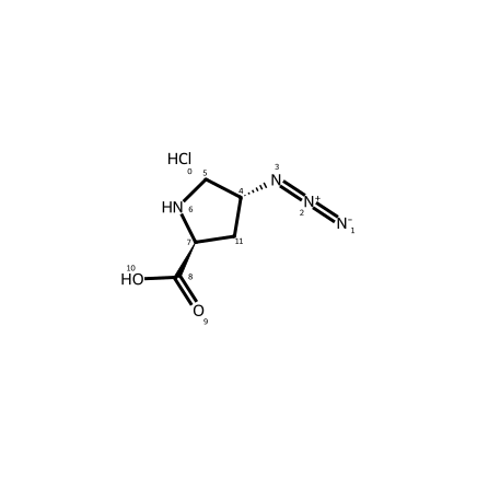 Cl.[N-]=[N+]=N[C@H]1CN[C@H](C(=O)O)C1